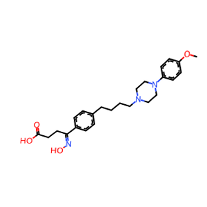 COc1ccc(N2CCN(CCCCc3ccc(C(CCC(=O)O)=NO)cc3)CC2)cc1